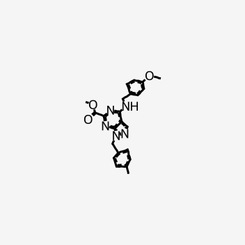 COC(=O)c1nc(NCc2ccc(OC)cc2)c2cnn(Cc3ccc(C)cc3)c2n1